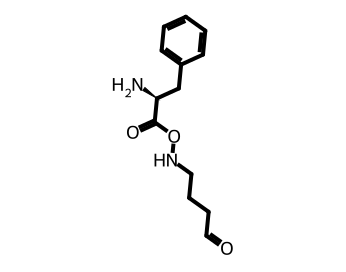 N[C@@H](Cc1ccccc1)C(=O)ONCCCC=O